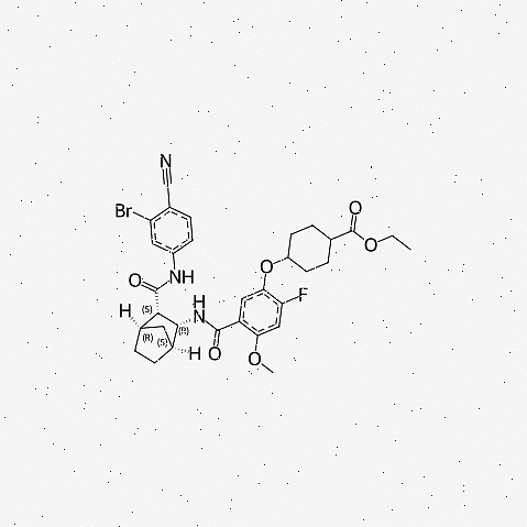 CCOC(=O)C1CCC(Oc2cc(C(=O)N[C@@H]3[C@H]4CC[C@H](C4)[C@@H]3C(=O)Nc3ccc(C#N)c(Br)c3)c(OC)cc2F)CC1